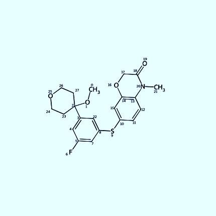 COC1(c2cc(F)cc(Sc3ccc4c(c3)OCC(=O)N4C)c2)CCOCC1